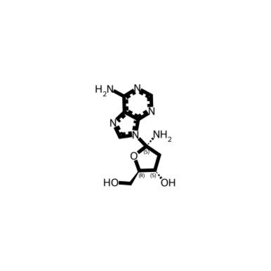 Nc1ncnc2c1ncn2[C@@]1(N)C[C@H](O)[C@@H](CO)O1